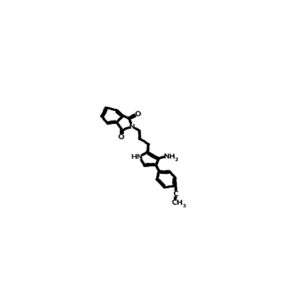 CCc1ccc(-c2c[nH]c(CCCN3C(=O)c4ccccc4C3=O)c2N)cc1